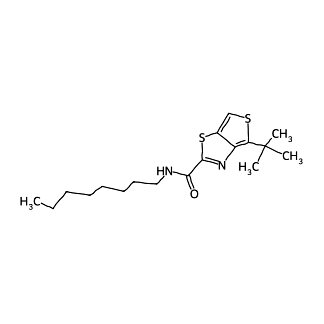 CCCCCCCCNC(=O)c1nc2c(C(C)(C)C)scc2s1